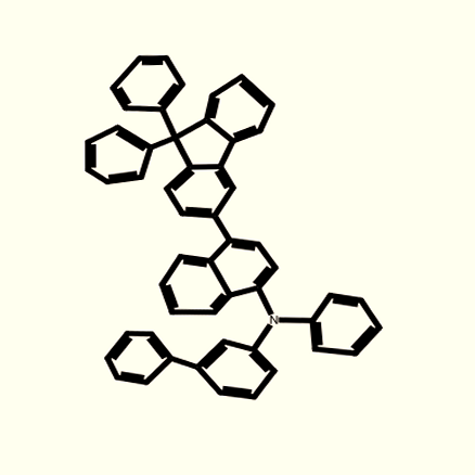 c1ccc(-c2cccc(N(c3ccccc3)c3ccc(-c4ccc5c(c4)-c4ccccc4C5(c4ccccc4)c4ccccc4)c4ccccc34)c2)cc1